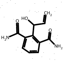 C=CC(O)c1c(C(N)=O)cccc1C(N)=O